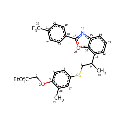 CCOC(=O)COc1ccc(SCC(C)c2cccc3nc(-c4ccc(C(F)(F)F)cc4)oc23)cc1C